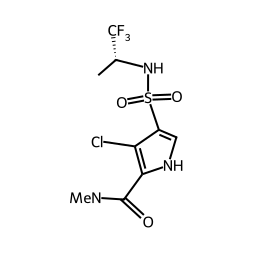 CNC(=O)c1[nH]cc(S(=O)(=O)N[C@H](C)C(F)(F)F)c1Cl